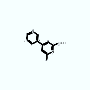 Cc1cc(-c2cncnc2)cc(C(=O)O)n1